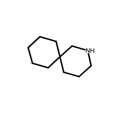 [CH]1CCCC2(C1)CCCNC2